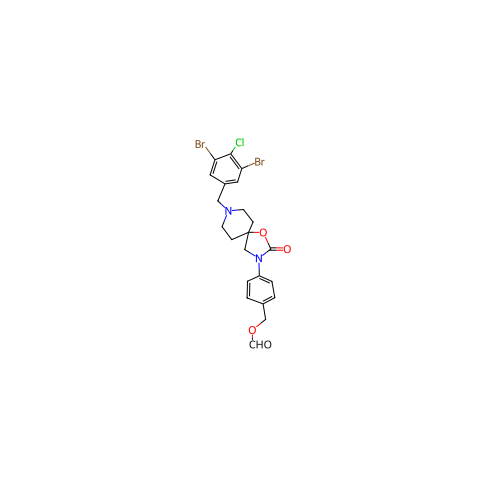 O=COCc1ccc(N2CC3(CCN(Cc4cc(Br)c(Cl)c(Br)c4)CC3)OC2=O)cc1